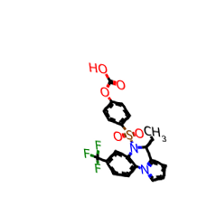 CCC1c2cccn2-c2ccc(C(F)(F)F)cc2N1S(=O)(=O)c1ccc(OC(=O)O)cc1